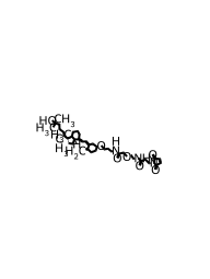 C=C1CC[C@H](OCCCNC(=O)COCCNC(=O)CCN2C(=O)C=CC2=O)C/C1=C/C=C1\CCC[C@]2(C)[C@@H]([C@H](C)CCCC(C)(C)O)CC[C@@H]12